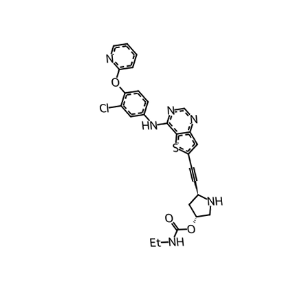 CCNC(=O)O[C@H]1CN[C@H](C#Cc2cc3ncnc(Nc4ccc(Oc5ccccn5)c(Cl)c4)c3s2)C1